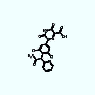 NC(=O)C(c1ccccn1)c1c(Cl)cc(-n2nc(C(=O)O)c(=O)[nH]c2=O)cc1Cl